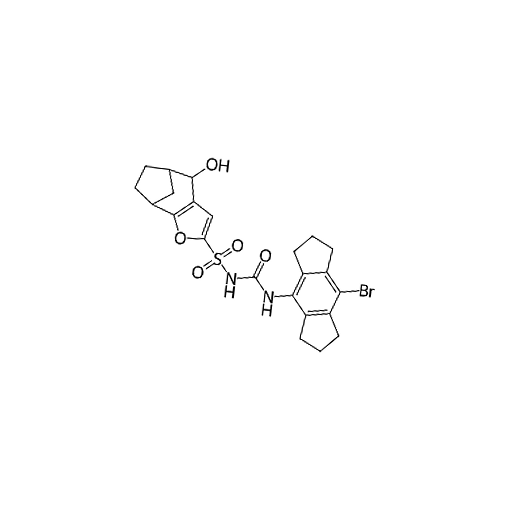 O=C(Nc1c2c(c(Br)c3c1CCC3)CCC2)NS(=O)(=O)c1cc2c(o1)C1CCC(C1)C2O